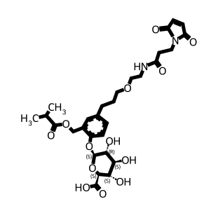 CC(C)C(=O)OCc1cc(CCCOCCNC(=O)CCN2C(=O)C=CC2=O)ccc1O[C@@H]1O[C@H](C(=O)O)[C@@H](O)[C@H](O)[C@H]1O